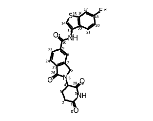 O=C1CCC(N2Cc3cc(C(=O)Nc4csc5cc(F)ccc45)ccc3C2=O)C(=O)N1